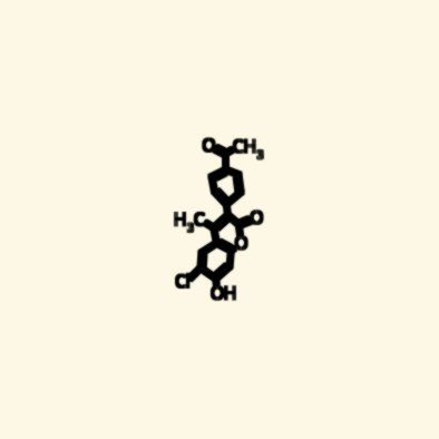 CC(=O)c1ccc(-c2c(C)c3cc(Cl)c(O)cc3oc2=O)cc1